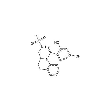 CS(=O)(=O)NCC1CCc2ccccc2N1C(=O)c1ccc(O)cc1O